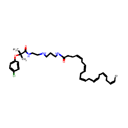 CC/C=C\C/C=C\C/C=C\C/C=C\C/C=C\C/C=C\CCC(=O)NCCCNCCNC(=O)C(C)(C)Oc1ccc(Cl)cc1